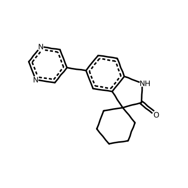 O=C1Nc2ccc(-c3cncnc3)cc2C12CCCCC2